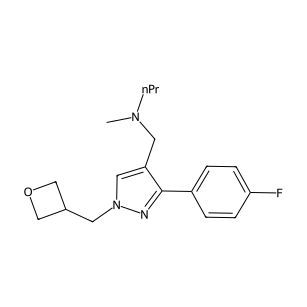 CCCN(C)Cc1cn(CC2COC2)nc1-c1ccc(F)cc1